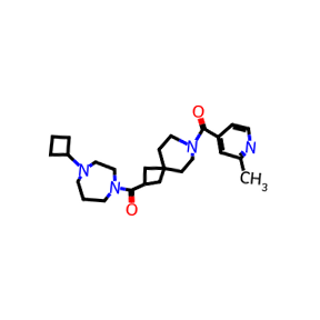 Cc1cc(C(=O)N2CCC3(CC2)CC(C(=O)N2CCCN(C4CCC4)CC2)C3)ccn1